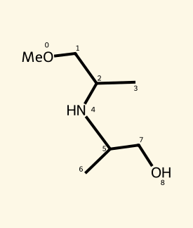 COCC(C)NC(C)CO